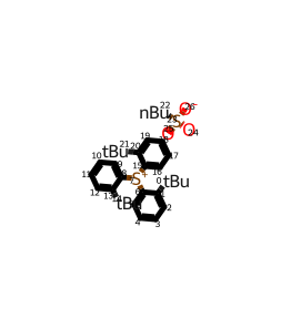 CC(C)(C)c1ccccc1[S+](c1ccccc1C(C)(C)C)c1ccccc1C(C)(C)C.CCCCS(=O)(=O)[O-]